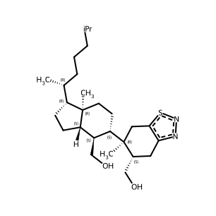 CC(C)CCC[C@@H](C)[C@H]1CC[C@H]2[C@H](CO)[C@@H]([C@@]3(C)Cc4snnc4C[C@@H]3CO)CC[C@]12C